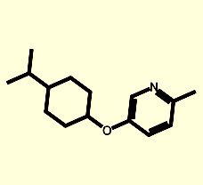 Cc1ccc(OC2CCC(C(C)C)CC2)cn1